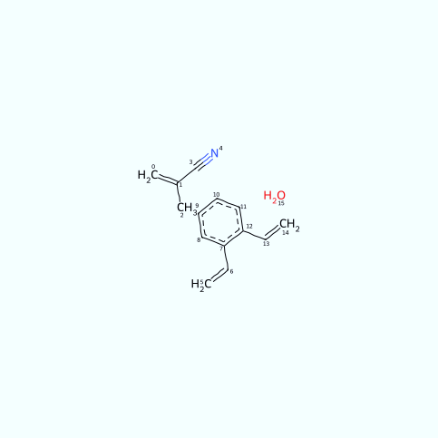 C=C(C)C#N.C=Cc1ccccc1C=C.O